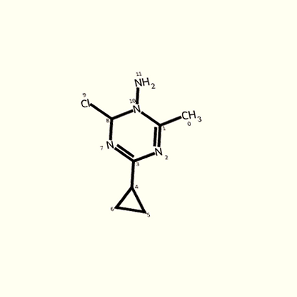 CC1=NC(C2CC2)=NC(Cl)N1N